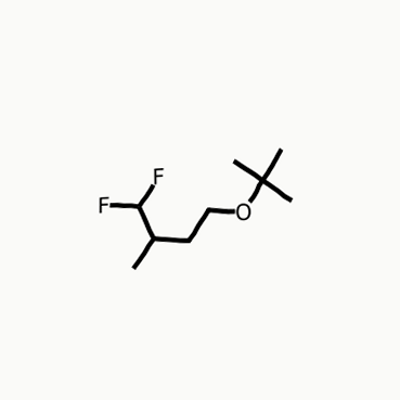 CC(CCOC(C)(C)C)C(F)F